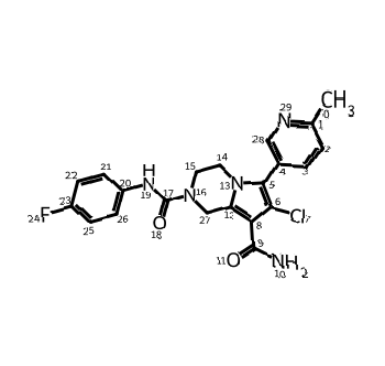 Cc1ccc(-c2c(Cl)c(C(N)=O)c3n2CCN(C(=O)Nc2ccc(F)cc2)C3)cn1